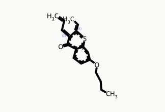 C=C/C=c1/c(=O)c2ccc(OCCCC)cc2s/c1=C/C